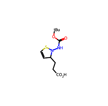 CC(C)(C)OC(=O)NN1SC=CC1CCC(=O)O